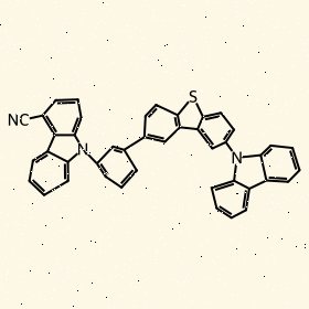 N#Cc1cccc2c1c1ccccc1n2-c1cccc(-c2ccc3sc4ccc(-n5c6ccccc6c6ccccc65)cc4c3c2)c1